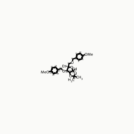 CC[C@]1(COCc2ccc(OC)cc2)O[C@@H]2OC(C)(C)OC2[C@H]1OCc1ccc(OC)cc1